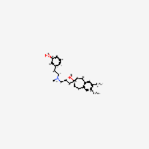 COc1cc2c(cc1OC)CCC(O)(CCCN(C)CCc1cccc(O)c1)CC2